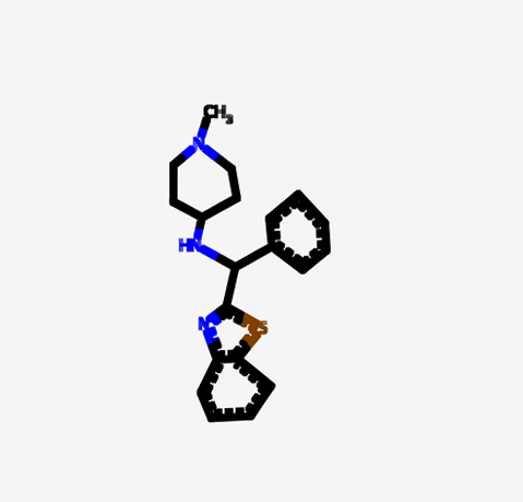 CN1CCC(NC(c2ccccc2)c2nc3ccccc3s2)CC1